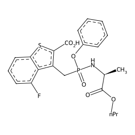 CCCOC(=O)[C@H](C)NP(=O)(Cc1c(C(=O)O)sc2cccc(F)c12)Oc1ccccc1